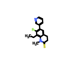 CCc1c(F)c(-c2cccnc2)cc2c1N(C)C(=S)CC2